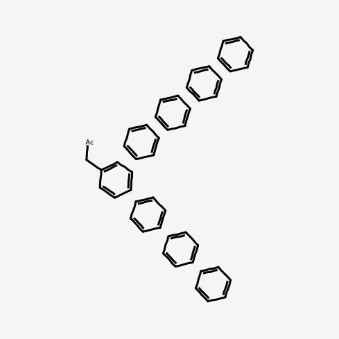 CC(=O)Cc1ccccc1.c1ccccc1.c1ccccc1.c1ccccc1.c1ccccc1.c1ccccc1.c1ccccc1.c1ccccc1